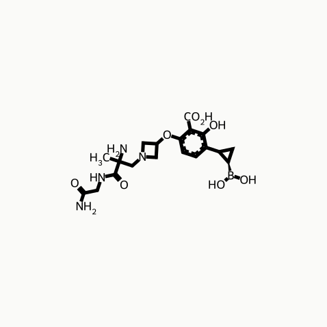 CC(N)(CN1CC(Oc2ccc(C3C[C@H]3B(O)O)c(O)c2C(=O)O)C1)C(=O)NCC(N)=O